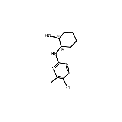 Cc1nc(N[C@@H]2CCCC[C@@H]2O)nnc1Cl